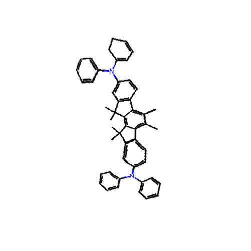 Cc1c(C)c2c(c3c1-c1ccc(N(C4=CC=CCC4)c4ccccc4)cc1C3(C)C)C(C)(C)c1cc(N(c3ccccc3)c3ccccc3)ccc1-2